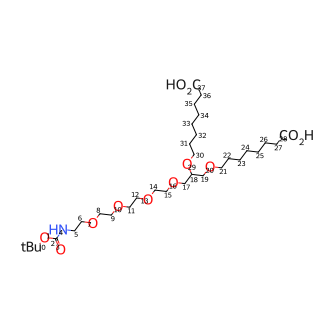 CC(C)(C)OC(=O)NCCOCCOCCOCCOCC(COCCCCCCCC(=O)O)OCCCCCCCC(=O)O